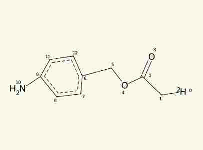 [2H]CC(=O)OCc1ccc(N)cc1